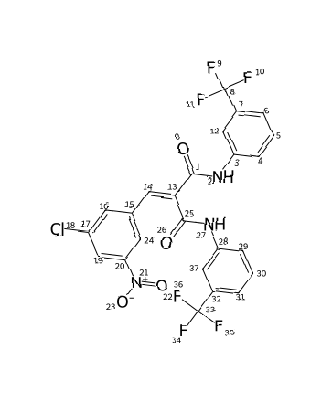 O=C(Nc1cccc(C(F)(F)F)c1)C(=Cc1cc(Cl)cc([N+](=O)[O-])c1)C(=O)Nc1cccc(C(F)(F)F)c1